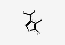 Cc1c(C(C)C)csc1F